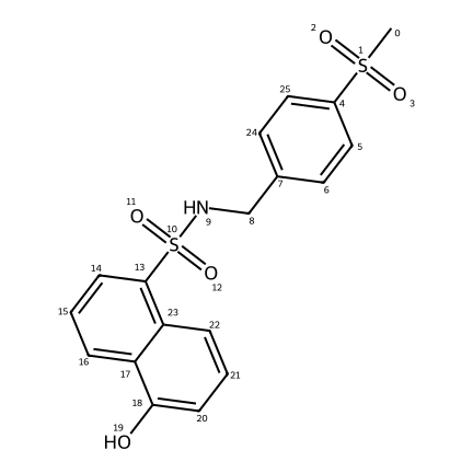 CS(=O)(=O)c1ccc(CNS(=O)(=O)c2cccc3c(O)cccc23)cc1